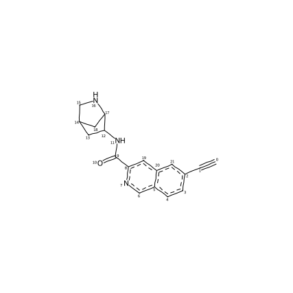 C#Cc1ccc2cnc(C(=O)NC3CC4CNC3C4)cc2c1